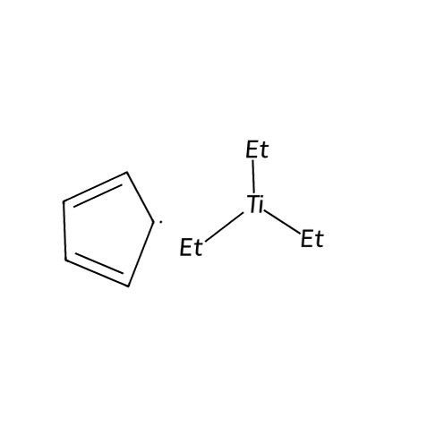 C[CH2][Ti]([CH2]C)[CH2]C.[CH]1C=CC=C1